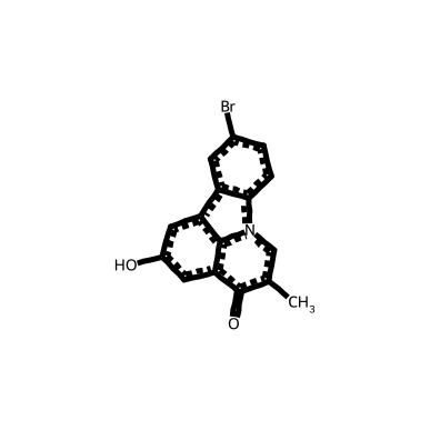 Cc1cn2c3ccc(Br)cc3c3cc(O)cc(c1=O)c32